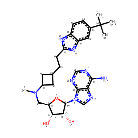 CC(C)N(C[C@H]1O[C@@H](n2cnc3c(N)ncnc32)[C@H](O)[C@@H]1O)C1CC(CCc2nc3cc(C(C)(C)C#N)ccc3[nH]2)C1